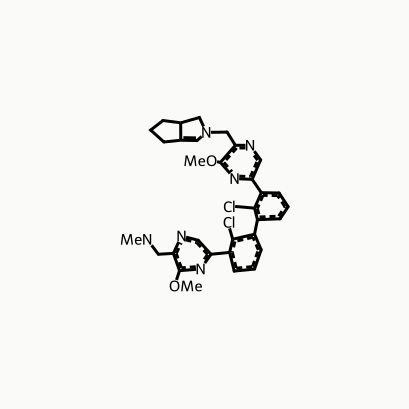 CNCc1ncc(-c2cccc(-c3cccc(-c4cnc(CN5C=C6CCCC6C5)c(OC)n4)c3Cl)c2Cl)nc1OC